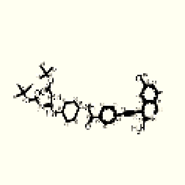 CC(C)(C)OC(=O)/N=C(\NC(=O)OC(C)(C)C)N[C@H]1CC[C@H](NC(=O)c2ccc(C#Cc3c(N)ncc4ccc(Cl)cc34)cc2)CC1